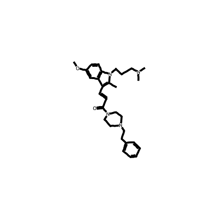 COc1ccc2c(c1)c(C=CC(=O)N1CCN(CCc3ccccc3)CC1)c(C)n2CCCN(C)C